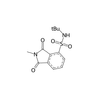 CN1C(=O)c2cccc(S(=O)(=O)NC(C)(C)C)c2C1=O